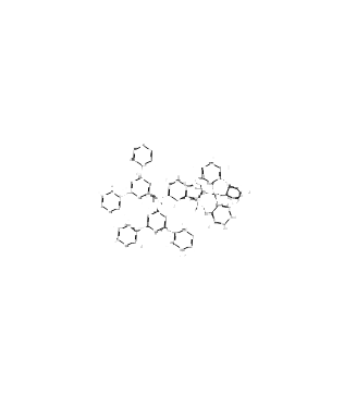 c1ccc(-c2cc(-c3ccccc3)cc(N(c3cc(-c4ccccc4)cc(-c4ccccc4)c3)c3ccc4sc5c(c4c3)Oc3ccccc3C53c4ccccc4-c4ccccc43)c2)cc1